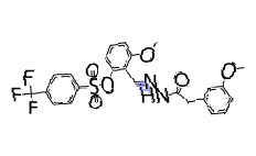 COc1cccc(CC(=O)N/N=C/c2c(OC)cccc2OS(=O)(=O)c2ccc(C(F)(F)F)cc2)c1